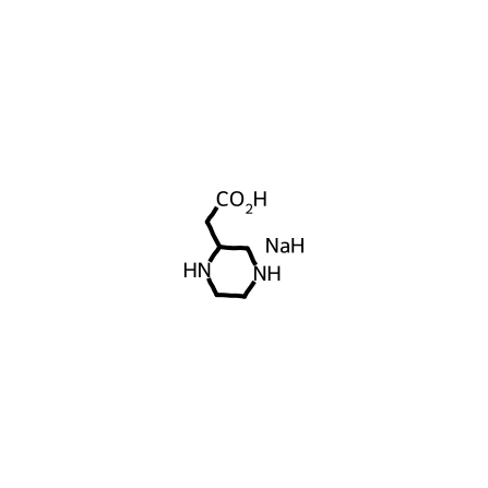 O=C(O)CC1CNCCN1.[NaH]